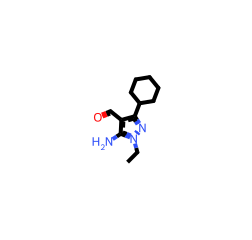 CCn1nc(C2CCCCC2)c(C=O)c1N